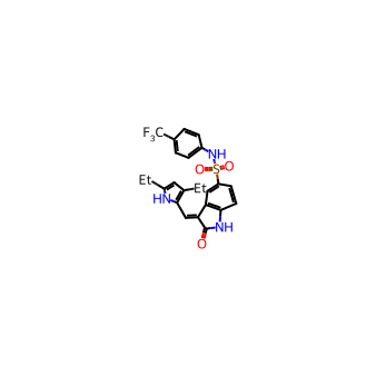 CCc1cc(CC)c(C=C2C(=O)Nc3ccc(S(=O)(=O)Nc4ccc(C(F)(F)F)cc4)cc32)[nH]1